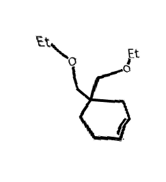 CCOCC1(COCC)CC=[C]CC1